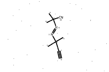 C#CC(C)(C)/N=N/C(C)(C)C#N